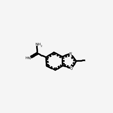 Cc1nc2cc(C(=N)N)ccc2o1